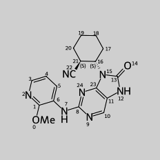 COc1ncccc1Nc1ncc2[nH]c(=O)n([C@H]3CCCC[C@@H]3C#N)c2n1